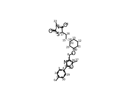 Cc1ccc(-c2nc(CO[C@H]3CCC[C@@H](CCC4SC(=O)N(C)C4=O)C3)c(C)o2)cc1